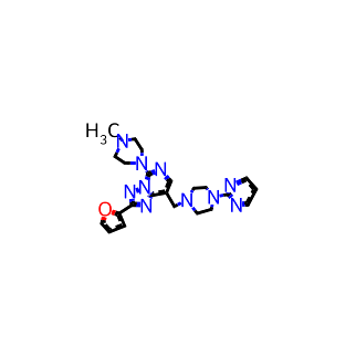 CN1CCN(c2ncc(CN3CCN(c4ncccn4)CC3)c3nc(-c4ccco4)nn23)CC1